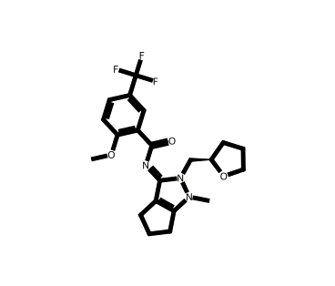 COc1ccc(C(F)(F)F)cc1C(=O)N=c1c2c(n(C)n1C[C@H]1CCCO1)CCC2